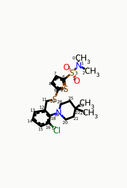 CN(C)S(=O)(=O)c1ccc(SCc2cccc(Cl)c2N2CCC(C)(C)CC2)s1